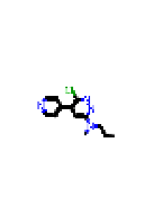 CCCN(C)c1cc(-c2ccncc2)c(Cl)nn1